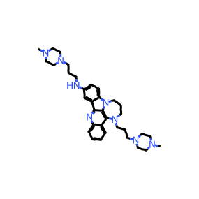 CN1CCN(CCCNc2ccc3c(c2)c2nc4ccccc4c4c2n3CCCN4CCCN2CCN(C)CC2)CC1